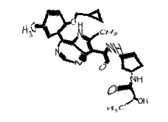 Cc1ccc(OCC2CC2)c(-c2ncnc3c(C(=O)N[C@H]4CC[C@H](NC(=O)[C@H](C)O)C4)c(C)[nH]c23)c1